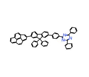 c1ccc(-c2nc(-c3ccccc3)nc(-c3ccc(-c4ccc5c(c4)C(c4ccccc4)(c4ccccc4)c4cc(-c6cc7ccc8cccc9ccc(c6)c7c89)ccc4-5)cc3)n2)cc1